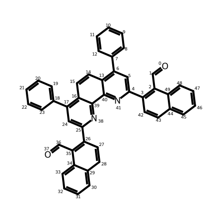 O=Cc1c(-c2cc(-c3ccccc3)c3ccc4c(-c5ccccc5)cc(-c5ccc6ccccc6c5C=O)nc4c3n2)ccc2ccccc12